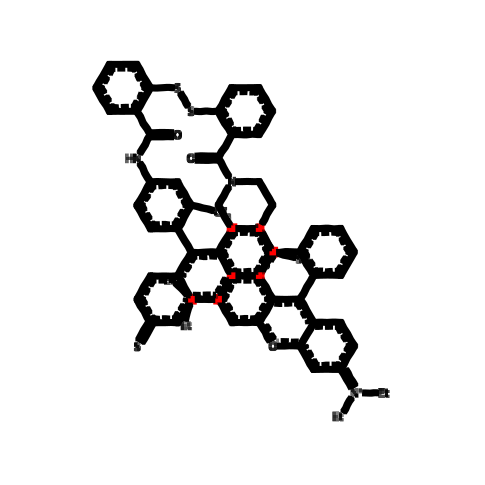 CCN(CC)c1ccc2c(-c3ccccc3C(=O)N3CCN(C(=O)c4ccccc4SSc4ccccc4C(=O)Nc4ccc(-c5c6ccc(=S)cc-6sc6cc(S)ccc56)c(C(F)(F)F)c4)CC3)c3ccc(=[N+](CC)CC)cc-3oc2c1